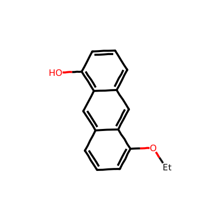 CCOc1cccc2cc3c(O)cccc3cc12